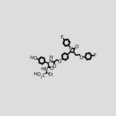 CC[C@H](NC(=O)[C@H](NC(=O)COc1ccc(C2C(CCOc3ccc(F)cc3)C(=O)N2c2ccc(F)cc2)cc1)c1ccc(O)cc1)C(=O)O